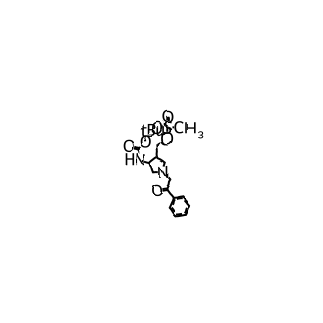 CC(C)(C)OC(=O)NC1CN(CC(=O)c2ccccc2)CC1COS(C)(=O)=O